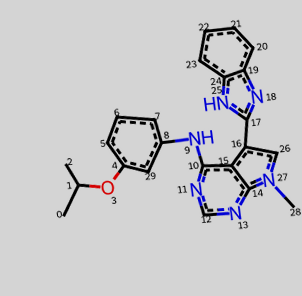 CC(C)Oc1cccc(Nc2ncnc3c2c(-c2nc4ccccc4[nH]2)cn3C)c1